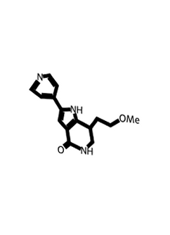 COCCC1CNC(=O)c2cc(-c3ccncc3)[nH]c21